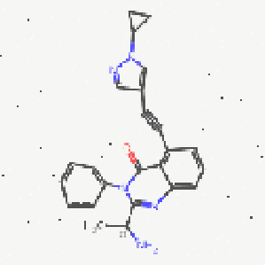 C[C@H](N)c1nc2cccc(C#Cc3cnn(C4CC4)c3)c2c(=O)n1-c1ccccc1